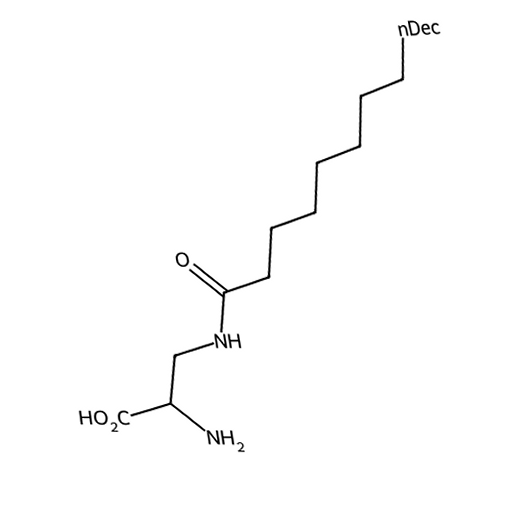 CCCCCCCCCCCCCCCCCC(=O)NCC(N)C(=O)O